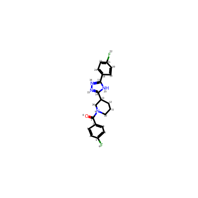 O=C(c1ccc(F)cc1)N1CCCC(c2nnc(-c3ccc(F)cc3)[nH]2)C1